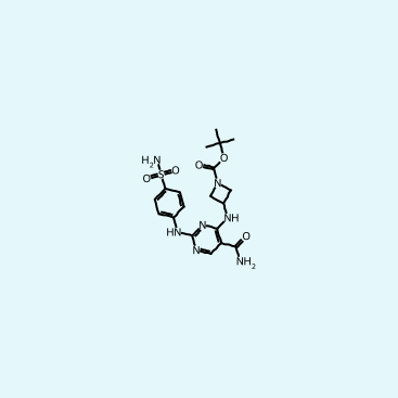 CC(C)(C)OC(=O)N1CC(Nc2nc(Nc3ccc(S(N)(=O)=O)cc3)ncc2C(N)=O)C1